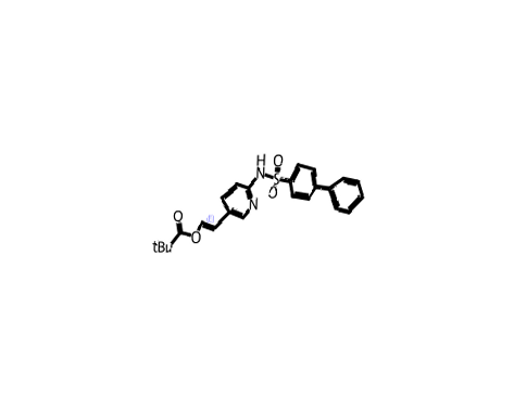 CC(C)(C)C(=O)O/C=C/c1ccc(NS(=O)(=O)c2ccc(-c3ccccc3)cc2)nc1